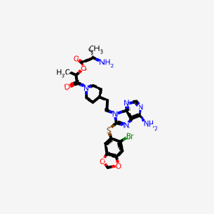 CC(OC(=O)[C@H](C)N)C(=O)N1CCC(CCn2c(Sc3cc4c(cc3Br)OCO4)nc3c(N)ncnc32)CC1